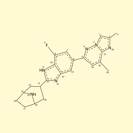 Cc1cn2nc(-c3cc(F)c4[nH]c(C5CC6CCC(C5)N6)nc4c3)cc(C)c2n1